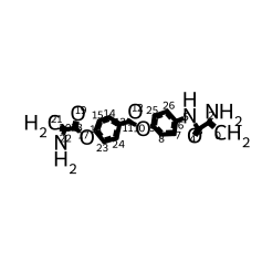 C=C(N)C(=O)Nc1ccc(OC(=O)c2ccc(OC(=O)C(=C)N)cc2)cc1